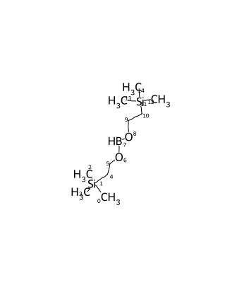 C[Si](C)(C)CCOBOCC[Si](C)(C)C